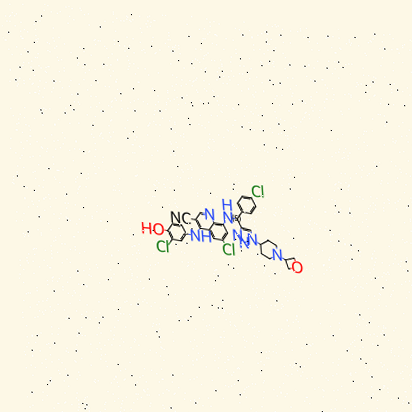 N#Cc1cnc2c(N[C@@H](c3ccc(Cl)cc3)c3cn(C4CCN(C5COC5)CC4)nn3)cc(Cl)cc2c1Nc1ccc(O)c(Cl)c1